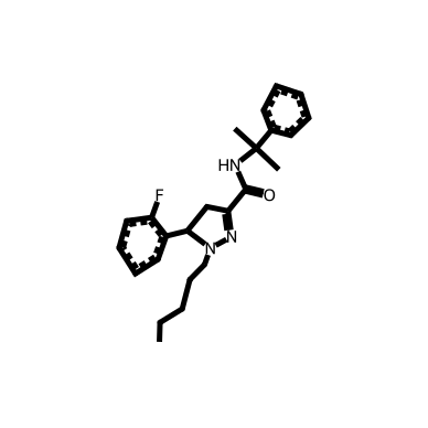 CCCCCN1N=C(C(=O)NC(C)(C)c2ccccc2)CC1c1ccccc1F